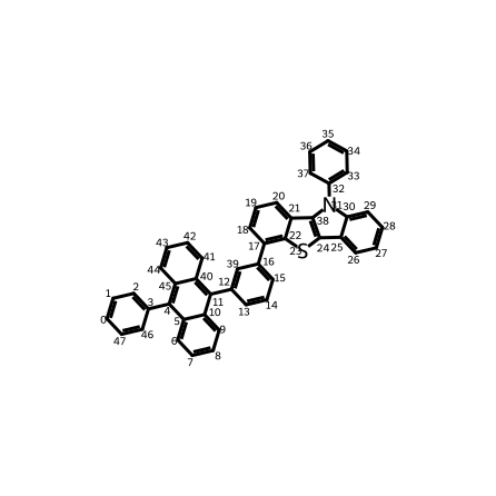 c1ccc(-c2c3ccccc3c(-c3cccc(-c4cccc5c4sc4c6ccccc6n(-c6ccccc6)c54)c3)c3ccccc23)cc1